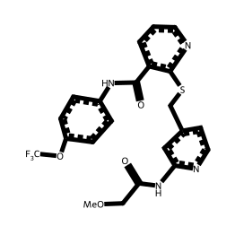 COCC(=O)Nc1cc(CSc2ncccc2C(=O)Nc2ccc(OC(F)(F)F)cc2)ccn1